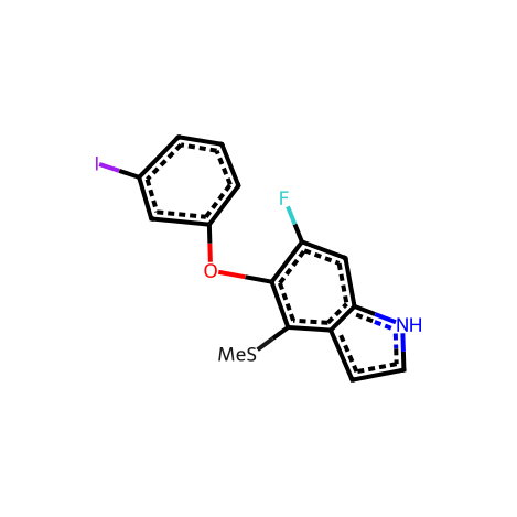 CSc1c(Oc2cccc(I)c2)c(F)cc2[nH]ccc12